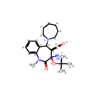 CN1C(=O)C(N)(OC(C)(C)C)C(=C=O)C(N2CCCCCC2)c2ccccc21